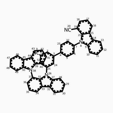 N#Cc1cc(-c2ccc(-n3c4ccccc4c4cccc(C#N)c43)cc2)cc(-n2c3ccccc3c3cccc(-n4c5ccccc5c5ccccc54)c32)c1